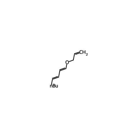 C=CCOC=CC=CCCCC